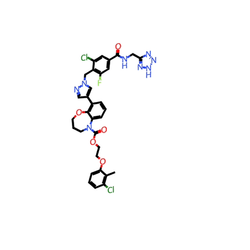 Cc1c(Cl)cccc1OCCOC(=O)N1CCCOc2c(-c3cnn(Cc4c(F)cc(C(=O)NCc5nn[nH]n5)cc4Cl)c3)cccc21